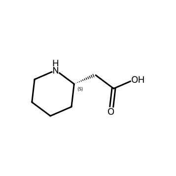 O=C(O)C[C@@H]1CCCCN1